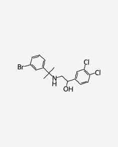 CC(C)(NCC(O)c1ccc(Cl)c(Cl)c1)c1cccc(Br)c1